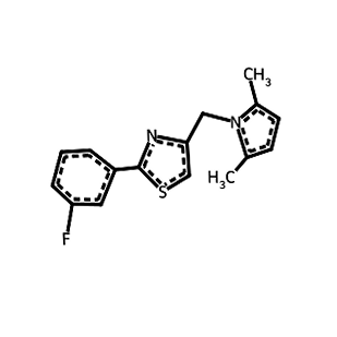 Cc1ccc(C)n1Cc1csc(-c2cccc(F)c2)n1